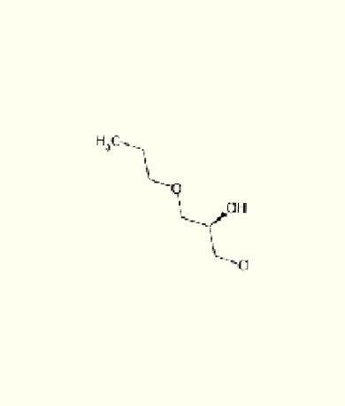 CCCOC[C@@H](O)CCl